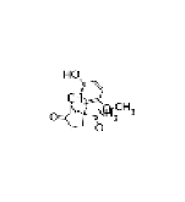 COc1ccc(O)cc1C1(C(N)=O)CCC(=O)N1C